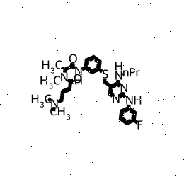 CCCNc1nc(Nc2cccc(F)c2)ncc1CSc1cccc(NC(=O)[C@H](C)N(C)C(=O)/C=C/CN(C)C)c1